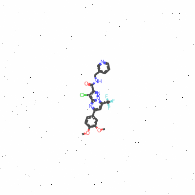 COc1ccc(-c2cc(C(F)(F)F)n3nc(C(=O)NCc4cccnc4)c(Cl)c3n2)cc1OC